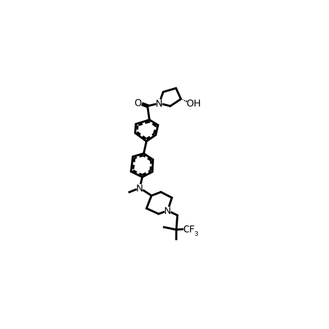 CN(c1ccc(-c2ccc(C(=O)N3CC[C@H](O)C3)cc2)cc1)C1CCN(CC(C)(C)C(F)(F)F)CC1